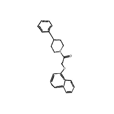 O=C(COc1[c]ccc2ccccc12)N1CCC(c2ccccc2)CC1